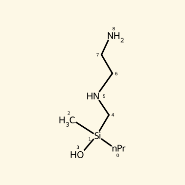 CCC[Si](C)(O)CNCCN